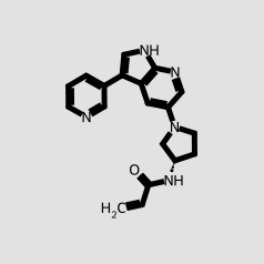 C=CC(=O)N[C@H]1CCN(c2cnc3[nH]cc(-c4cccnc4)c3c2)C1